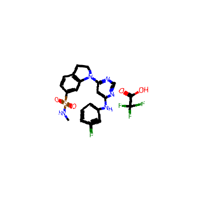 CNS(=O)(=O)c1ccc2c(c1)N(c1cc(Nc3cccc(F)c3)ncn1)CC2.O=C(O)C(F)(F)F